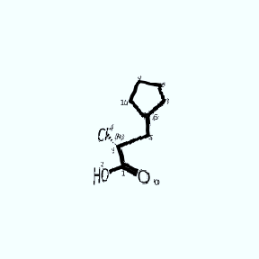 O=C(O)[C@H](Cl)CC1CCCC1